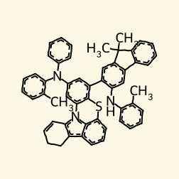 Cc1ccccc1Nc1cc2c(cc1-c1cc(N(c3ccccc3)c3ccccc3C)cc3c1Sc1cccc4c5c(n-3c14)C=CCC5)C(C)(C)c1ccccc1-2